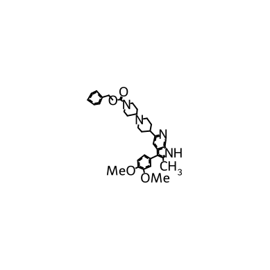 COc1ccc(-c2c(C)[nH]c3cnc(C4CCN(C5CCN(C(=O)OCc6ccccc6)CC5)CC4)cc23)cc1OC